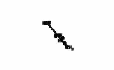 COCCOCCNC(=O)CCCNC(=O)CCCCCCCCCCC(=O)O